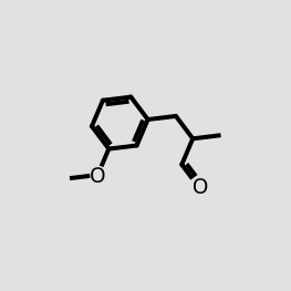 COc1cccc(CC(C)C=O)c1